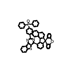 O=P(c1ccccc1)(c1ccccc1)c1ccc(-c2nc(-c3cccc4c3-c3c(ccc5ccccc35)C43c4ccccc4Oc4ccccc43)c3sc4ccccc4c3n2)cc1